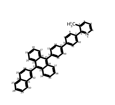 Cc1cccnc1-c1ccc(-c2ccc(-c3c4ccccc4c(-c4ccc5ccccc5c4)c4ccccc34)cc2)cc1